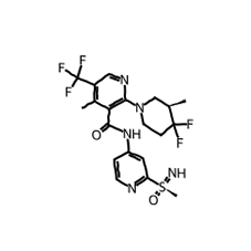 Cc1c(C(F)(F)F)cnc(N2CCC(F)(F)[C@H](C)C2)c1C(=O)Nc1ccnc([S@](C)(=N)=O)c1